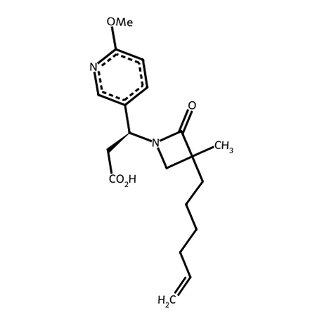 C=CCCCCC1(C)CN([C@@H](CC(=O)O)c2ccc(OC)nc2)C1=O